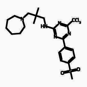 CC(C)(CNc1nc(-c2ccc(S(C)(=O)=O)cc2)nc(C(Cl)(Cl)Cl)n1)CN1CCCCCC1